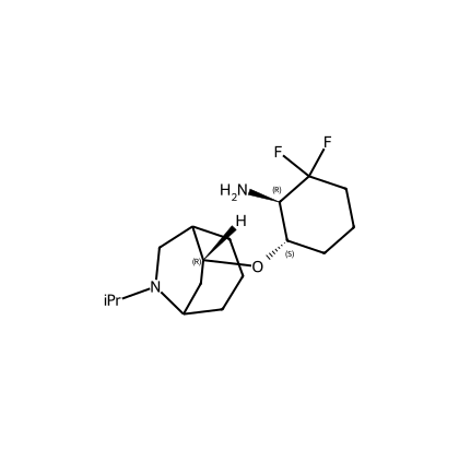 CC(C)N1CC2CCCC1C[C@H]2O[C@H]1CCCC(F)(F)[C@@H]1N